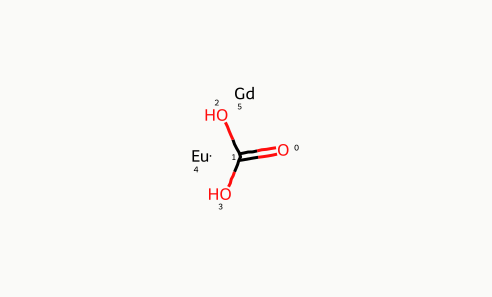 O=C(O)O.[Eu].[Gd]